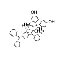 C=C(C(C)(c1ccc(O)cc1)c1ccc(O)cc1)C(C)(C(C)C)N(c1ccccc1)c1ccc(N(c2ccccc2)c2ccccc2)cc1